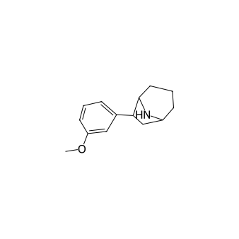 COc1cccc(C2CC3CCCC2N3)c1